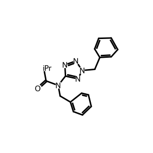 CC(C)C(=O)N(Cc1ccccc1)c1nnn(Cc2ccccc2)n1